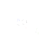 FC(F)(F)[C@H]1CC[C@H](Oc2cccc3ncccc23)CC1